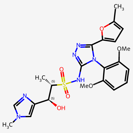 COc1cccc(OC)c1-n1c(NS(=O)(=O)[C@@H](C)[C@@H](O)c2cn(C)cn2)nnc1-c1ccc(C)o1